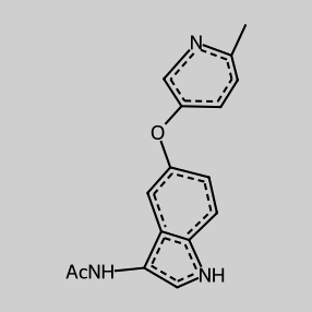 CC(=O)Nc1c[nH]c2ccc(Oc3ccc(C)nc3)cc12